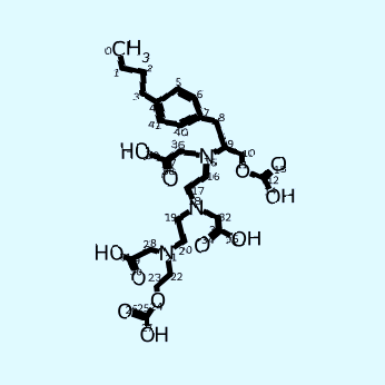 CCCCc1ccc(CC(COC(=O)O)N(CCN(CCN(CCOC(=O)O)CC(=O)O)CC(=O)O)CC(=O)O)cc1